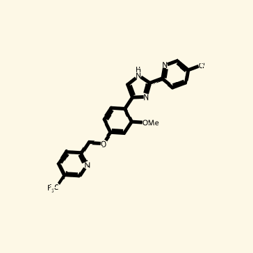 COC1C=C(OCc2ccc(C(F)(F)F)cn2)C=CC1c1c[nH]c(-c2ccc(Cl)cn2)n1